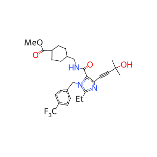 CCc1nc(C#CC(C)(C)O)c(C(=O)NCC2CCC(C(=O)OC)CC2)n1Cc1ccc(C(F)(F)F)cc1